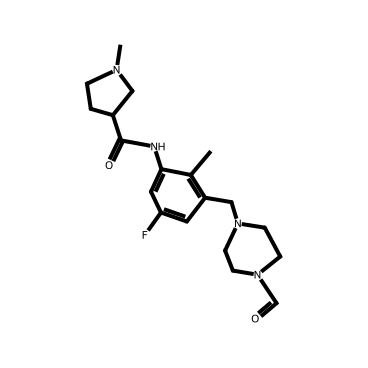 Cc1c(CN2CCN(C=O)CC2)cc(F)cc1NC(=O)C1CCN(C)C1